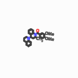 COc1ccc(C(=O)N2c3ccccc3C(N3CCCc4c[c]ccc43)CC2C)cc1OC